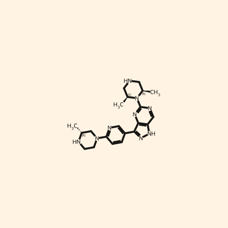 C[C@@H]1CN(c2ccc(-c3n[nH]c4cnc(N5[C@H](C)CNC[C@@H]5C)nc34)cn2)CCN1